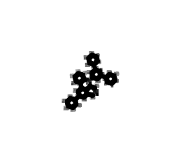 c1ccc(-c2cc(-c3ccccc3)cc(N3c4ccccc4-c4cc(-c5ccccc5)cc5cncc3c45)c2)cc1